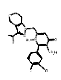 CCn1c(Cn2nc(C(F)F)c3c2CCOC3)cc(=O)c(C(=O)O)c1-c1ccc(Cl)c(Cl)c1